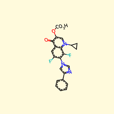 O=C(O)Oc1cn(C2CC2)c2c(F)c(-n3cnc(-c4ccccc4)c3)c(F)cc2c1=O